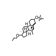 CCCOC1CC[C@H]2[C@@H]3C(C)CC4=CC(O[Si](C)(C)C)CC[C@]4(C=O)[C@@H]3CC[C@]12C